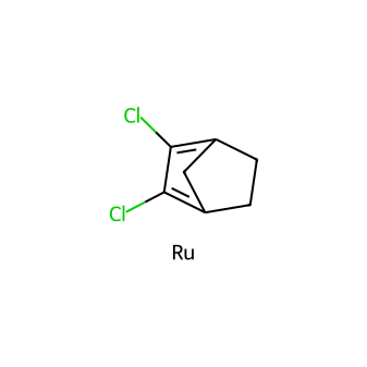 ClC1=C2CCC(=C1Cl)C2.[Ru]